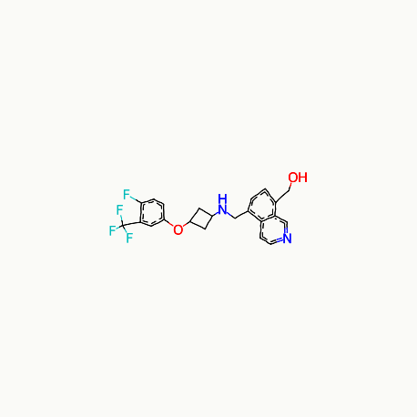 OCc1ccc(CNC2CC(Oc3ccc(F)c(C(F)(F)F)c3)C2)c2ccncc12